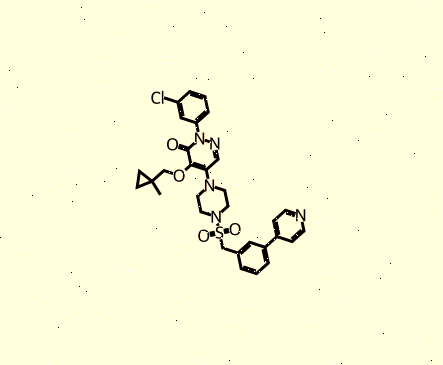 CC1(COc2c(N3CCN(S(=O)(=O)Cc4cccc(-c5ccncc5)c4)CC3)cnn(-c3cccc(Cl)c3)c2=O)CC1